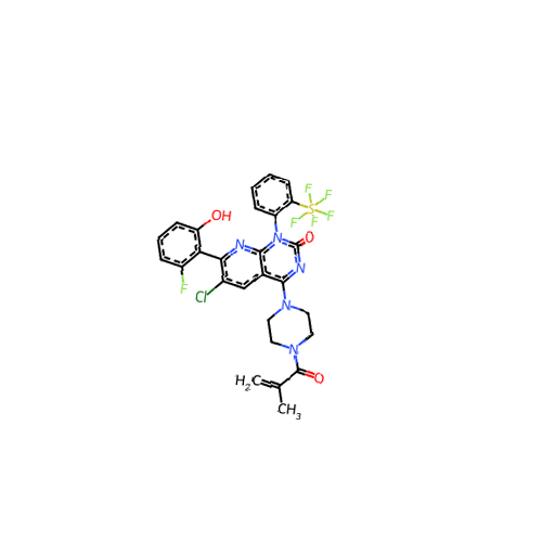 C=C(C)C(=O)N1CCN(c2nc(=O)n(-c3ccccc3S(F)(F)(F)(F)F)c3nc(-c4c(O)cccc4F)c(Cl)cc23)CC1